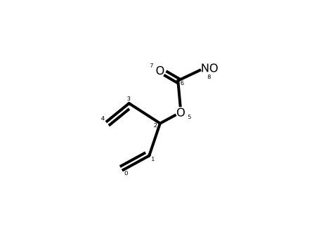 C=CC(C=C)OC(=O)N=O